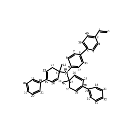 C=Cc1ccc(-c2ccc(N(C3(C)C=CC(c4ccccc4)=CC3)C3(C)C=CC(c4ccccc4)=CC3)cc2)cc1